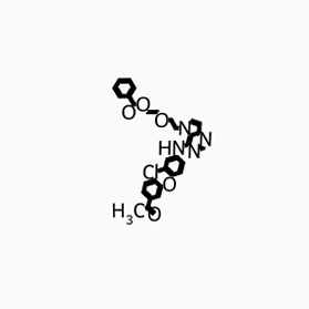 CC(=O)c1cccc(Oc2ccc(Nc3ncnc4ccn(CCOCCOC(=O)c5ccccc5)c34)cc2Cl)c1